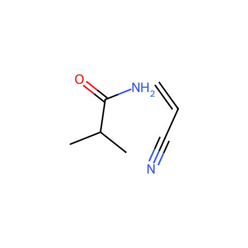 C=CC#N.CC(C)C(N)=O